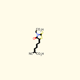 N#CC(=CC=CC=C1SC(=S)N(CC(=O)O)C1=O)C(=O)O